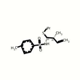 C=C[C@@H](C)[C@H](NS(=O)(=O)c1ccc(C)cc1)SC(C)C